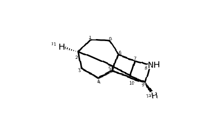 C1C[C@@H]2CCC3C1C1N[C@@H]2C31